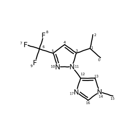 CC(C)c1cc(C(F)(F)F)nn1-c1cn(C)cn1